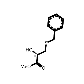 COC(=O)[C@@H](O)CSCc1ccccc1